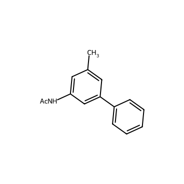 CC(=O)Nc1cc(C)cc(-c2ccccc2)c1